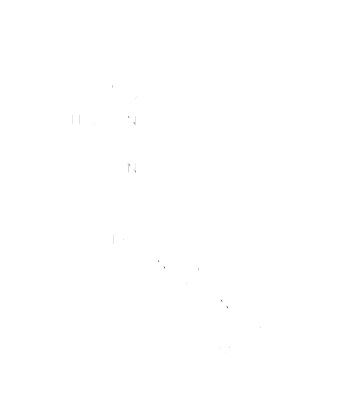 Cc1nc(CC(=O)Nc2cc(F)cc(CN3CCN(C(=O)C4CCCC4)C(C)C3)c2C)co1